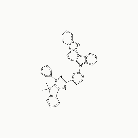 C[Si]1(C)c2ccccc2-c2nc(-c3cccc(-n4c5ccccc5c5c6oc7ccccc7c6ccc54)c3)nc(-c3ccccc3)c21